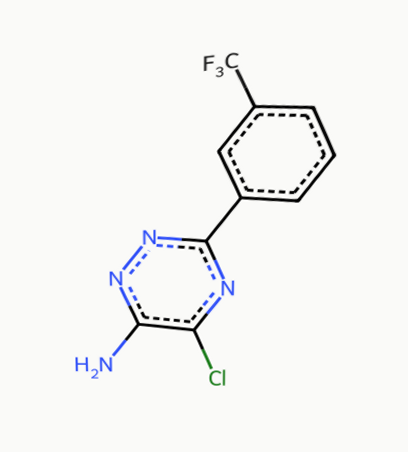 Nc1nnc(-c2cccc(C(F)(F)F)c2)nc1Cl